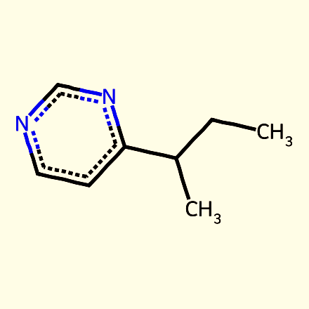 CCC(C)c1ccncn1